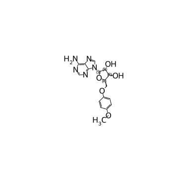 COc1ccc(OC[C@H]2O[C@H](n3cnc4c(N)ncnc43)[C@H](O)[C@H]2O)cc1